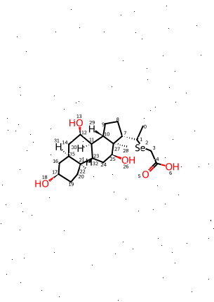 CC([Se]CC(=O)O)[C@H]1CC[C@H]2[C@@H]3[C@H](O)C[C@@H]4C[C@H](O)CC[C@]4(C)[C@H]3C[C@H](O)[C@]12C